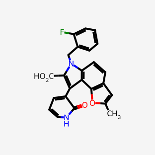 Cc1cc2ccc3c(c(-c4ccc[nH]c4=O)c(C(=O)O)n3Cc3ccccc3F)c2o1